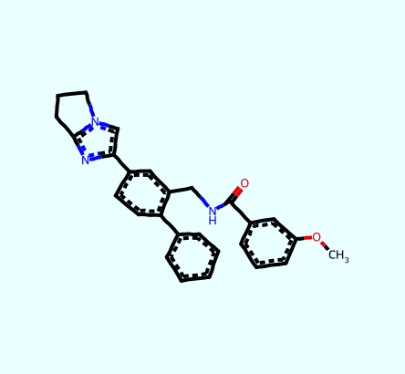 COc1cccc(C(=O)NCc2cc(-c3cn4c(n3)CCC4)ccc2-c2ccccc2)c1